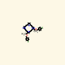 CC(OCc1ccc(F)cc1)C1=Cc2cc3[nH]c(cc4nc(cc5ccc(cc1n2)[nH]5)C=C4)cc3C(C)OCc1ccc(F)cc1